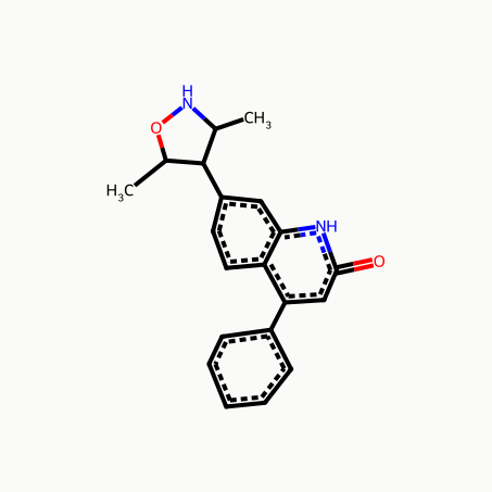 CC1NOC(C)C1c1ccc2c(-c3ccccc3)cc(=O)[nH]c2c1